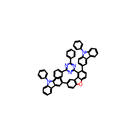 c1ccc(-c2nc(-c3ccccc3)nc(-c3c(-c4ccc5c(c4)c4ccccc4n5-c4ccccc4)ccc4oc5ccc(-c6ccc7c(c6)c6ccccc6n7-c6ccccc6)cc5c34)n2)cc1